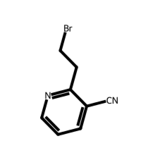 N#Cc1cccnc1CCBr